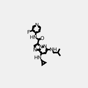 CC(C)CNc1cc(NC2CC2)c2ncc(C(=O)Nc3ccncc3F)n2n1